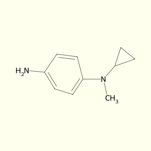 CN(c1ccc(N)cc1)C1CC1